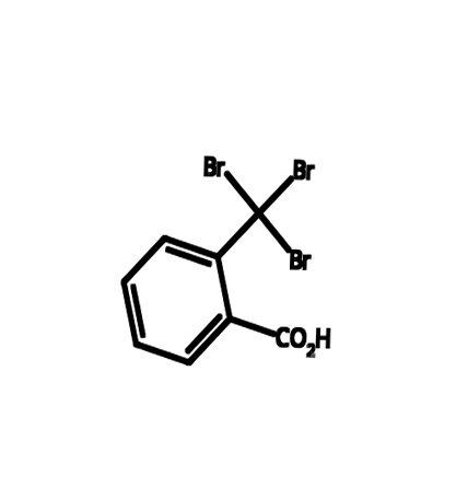 O=C(O)c1ccccc1C(Br)(Br)Br